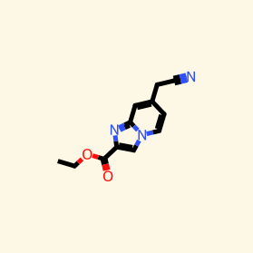 CCOC(=O)c1cn2ccc(CC#N)cc2n1